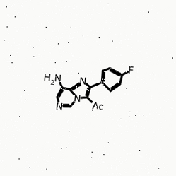 CC(=O)c1c(-c2ccc(F)cc2)nc2c(N)cncn12